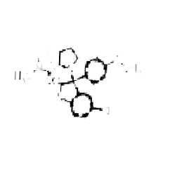 COc1ccc(C2(N3CCC[C@H]3C(=O)N(C)C)C(=O)Nc3ccc(Cl)cc32)cc1